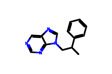 CC(Cn1cnc2cncnc21)c1ccccc1